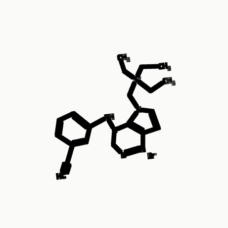 C#Cc1cccc(NN2CN=Nc3ccn(C[N+](CC)(CC)CC)c32)c1.[Br-]